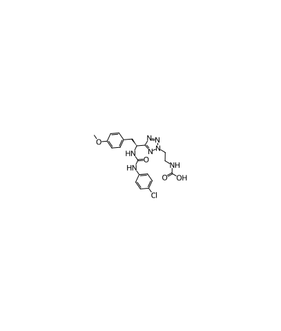 COc1ccc(C[C@H](NC(=O)Nc2ccc(Cl)cc2)c2nnn(CCNC(=O)O)n2)cc1